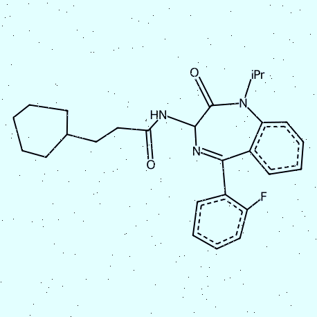 CC(C)N1C(=O)C(NC(=O)CCC2CCCCC2)N=C(c2ccccc2F)c2ccccc21